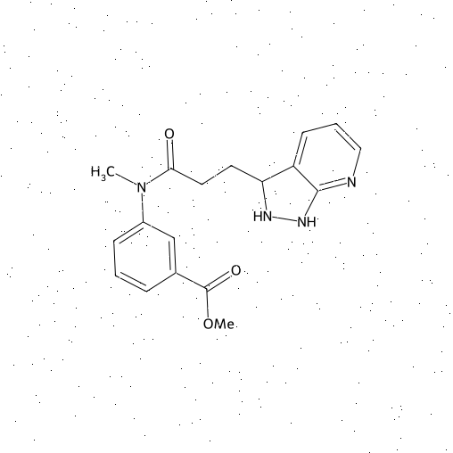 COC(=O)c1cccc(N(C)C(=O)CCC2NNc3ncccc32)c1